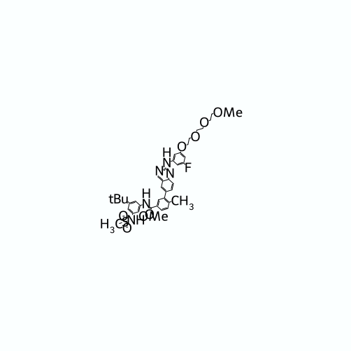 COCCOCCOCCOc1cc(F)cc(Nc2ncc3cc(-c4cc(C(=O)Nc5cc(C(C)(C)C)cc(NS(C)(=O)=O)c5OC)ccc4C)ccc3n2)c1